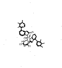 CCCC1=Cc2c(-c3ccc(C)c(C)c3C)cccc2[CH]1[Hf]([Cl])([Cl])([B](NC(=O)CC)NC(=O)CC)[CH]1C(CCC)=Cc2c(-c3ccc(C)c(C)c3C)cccc21